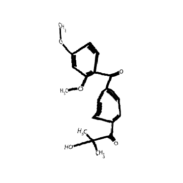 COc1ccc(C(=O)c2ccc(C(=O)C(C)(C)O)cc2)c(OC)c1